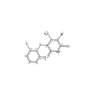 Cc1c(Br)c(=O)[nH]c(=O)n1Cc1c(F)cccc1Cl